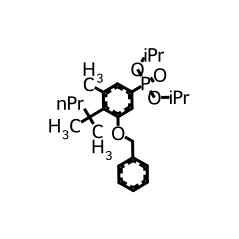 CCCC(C)(C)c1c(C)cc(P(=O)(OC(C)C)OC(C)C)cc1OCc1ccccc1